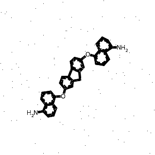 Nc1cccc2c(Oc3ccc4c(c3)Cc3cc(Oc5cccc6c(N)cccc56)ccc3-4)cccc12